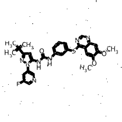 COc1cc2ncnc(Sc3cccc(NC(=O)Nc4cc(C(C)(C)C)nn4-c4cncc(F)c4)c3)c2cc1OC